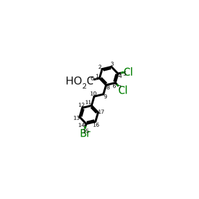 O=C(O)c1ccc(Cl)c(Cl)c1CCc1ccc(Br)cc1